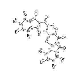 O=C(c1ccc(C(=O)N2C(=O)c3c(Br)c(Br)c(Br)c(Br)c3C2=O)cc1)N1C(=O)c2c(Br)c(Br)c(Br)c(Br)c2C1=O